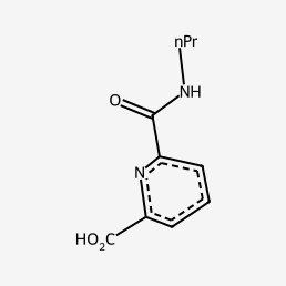 CCCNC(=O)c1cccc(C(=O)O)n1